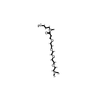 CC(C)CCCN(C)C(=O)CCOCCOCCOCCOCCN(C)C